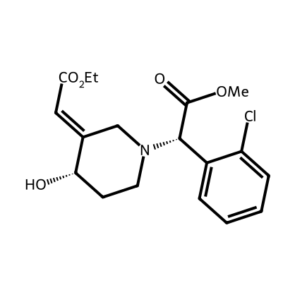 CCOC(=O)/C=C1\CN([C@H](C(=O)OC)c2ccccc2Cl)CC[C@@H]1O